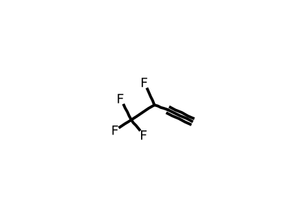 C#CC(F)C(F)(F)F